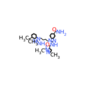 CCn1nc(C)cc1C(=O)Nc1nc2cc(C(N)=O)ccc2n1CCCCn1c(N)nc2c(C(C)C)cccc21